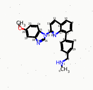 CNCc1ccc(-c2cccc3ccc(-n4cnc5cc(OC)ccc54)nc23)cc1